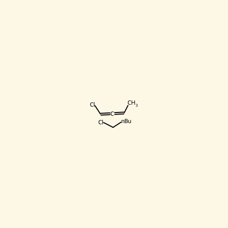 CC=C=CCl.CCCCCCl